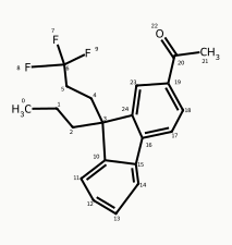 CCCC1(CCC(F)(F)F)c2ccccc2-c2ccc(C(C)=O)cc21